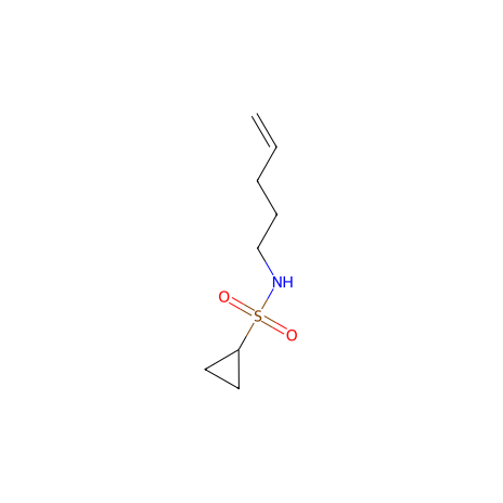 C=CCCCNS(=O)(=O)C1CC1